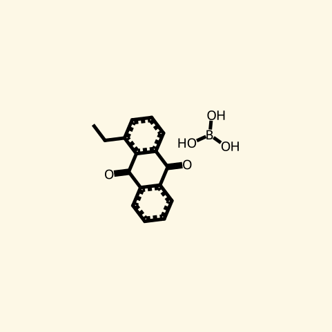 CCc1cccc2c1C(=O)c1ccccc1C2=O.OB(O)O